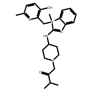 Cc1ccc(O)c(C[N+]2(C)C(NC3CCN(CC(=O)C(C)C)CC3)=Nc3ccccc32)n1